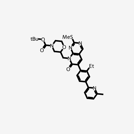 CCc1cc(-c2cccc(C)n2)ccc1-c1cc2cnc(SC)nc2n(CC2CN(C(=O)OC(C)(C)C)CCO2)c1=O